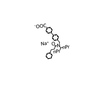 CCCC(CCC)N(Cc1ccc(-c2ccc(C(=O)[O-])cc2)cc1)C(=O)CCc1ccccc1.[Na+]